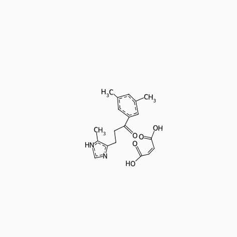 Cc1cc(C)cc(C(=O)CCc2nc[nH]c2C)c1.O=C(O)/C=C\C(=O)O